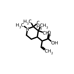 C=CC(C(=O)O)C1CCN(C)C(C)(C)C1(C)C